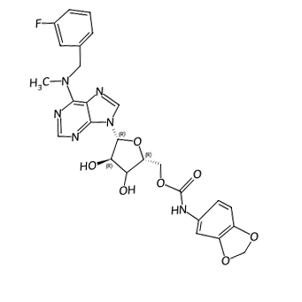 CN(Cc1cccc(F)c1)c1ncnc2c1ncn2[C@@H]1O[C@H](COC(=O)Nc2ccc3c(c2)OCO3)C(O)[C@H]1O